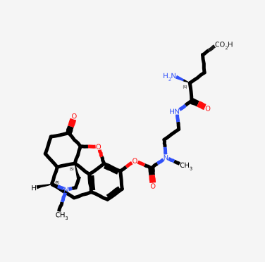 CN(CCNC(=O)[C@@H](N)CCC(=O)O)C(=O)Oc1ccc2c3c1OC1C(=O)CCC4[C@@H](C2)N(C)CC[C@]314